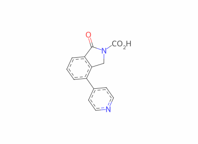 O=C(O)N1Cc2c(cccc2-c2ccncc2)C1=O